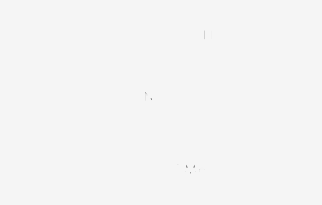 COC1CCCN(CCO)C1